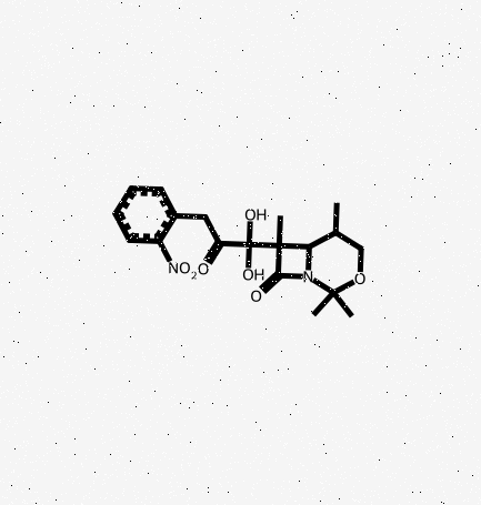 CC1COC(C)(C)N2C(=O)C(C)(C(O)(O)C(=O)Cc3ccccc3[N+](=O)[O-])C12